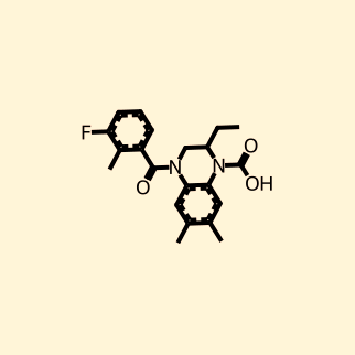 CCC1CN(C(=O)c2cccc(F)c2C)c2cc(C)c(C)cc2N1C(=O)O